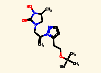 C=C(CN1CC(C)N(O)C1=O)n1nccc1CCO[Si](C)(C)C(C)(C)C